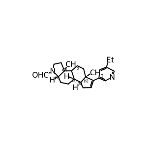 CCc1cncc(C2=CC[C@H]3[C@@H]4CC[C@@H]5N(C=O)CC[C@]5(C)C4CC[C@]23C)c1